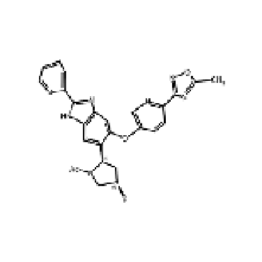 CC(=O)N1C[C@H](F)C[C@@H]1c1cc2[nH]c(-c3ccccn3)nc2cc1Oc1ccc(-c2noc(C)n2)nc1